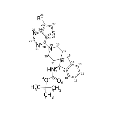 CC(C)(C)OC(=O)N[C@@H]1c2ccccc2CC12CCN(c1ncnc3c(Br)csc13)CC2